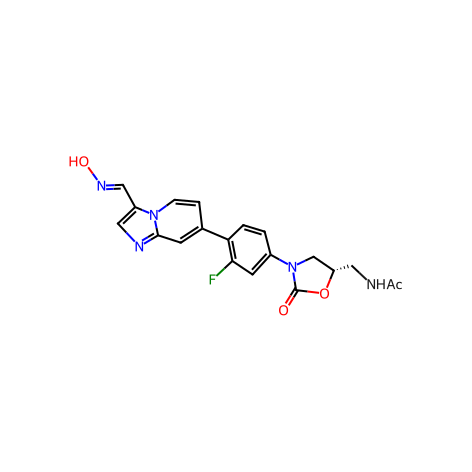 CC(=O)NC[C@H]1CN(c2ccc(-c3ccn4c(C=NO)cnc4c3)c(F)c2)C(=O)O1